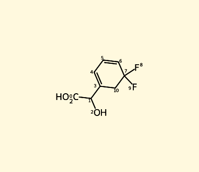 O=C(O)C(O)C1=CC=CC(F)(F)C1